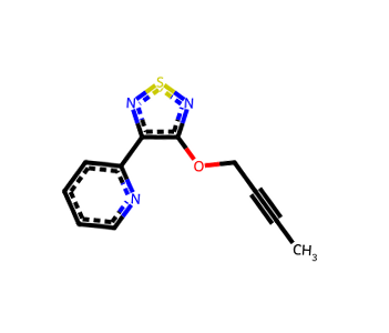 CC#CCOc1nsnc1-c1ccccn1